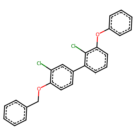 Clc1cc(-c2[c]ccc(Oc3ccccc3)c2Cl)ccc1OCc1ccccc1